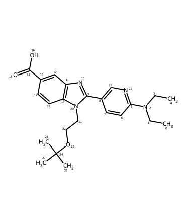 CCN(CC)c1ccc(-c2nc3cc(C(=O)O)ccc3n2CCOC(C)(C)C)cn1